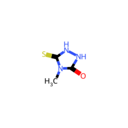 Cn1c(=O)[nH][nH]c1=S